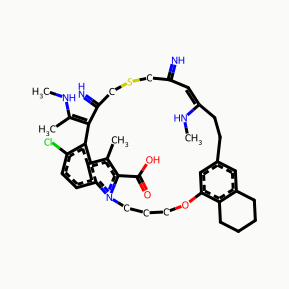 CN/C1=C\C(=N)CSCC(=N)/C(=C(/C)NC)c2c(Cl)ccc3c2c(C)c(C(=O)O)n3CCCOc2cc(cc3c2CCCC3)CC1